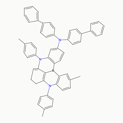 Cc1ccc(N2C3=CCCC4=C3B(c3ccc(N(c5ccc(-c6ccccc6)cc5)c5ccc(-c6ccccc6)cc5)cc32)c2cc(C)ccc2N4c2ccc(C)cc2)cc1